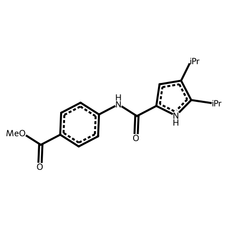 COC(=O)c1ccc(NC(=O)c2cc(C(C)C)c(C(C)C)[nH]2)cc1